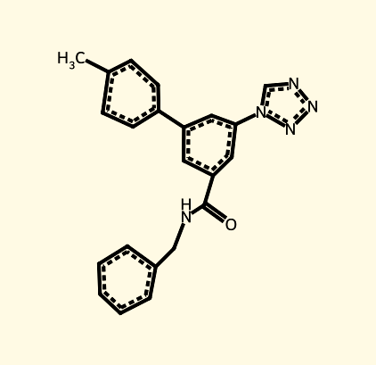 Cc1ccc(-c2cc(C(=O)NCc3ccccc3)cc(-n3cnnn3)c2)cc1